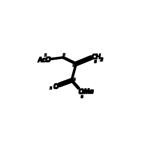 C=C(COC(C)=O)C(=O)OC